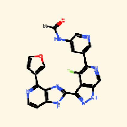 CCC(=O)Nc1cncc(-c2ncc3[nH]nc(-c4nc5c(-c6ccoc6)nccc5[nH]4)c3c2F)c1